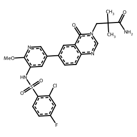 COc1ncc(-c2ccc3ncn(CC(C)(C)C(N)=O)c(=O)c3c2)cc1NS(=O)(=O)c1ccc(F)cc1Cl